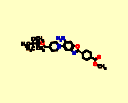 COC(=O)[C@H]1CC[C@H](c2nc3cc(N4CCC(CO[Si](C)(C)C(C)(C)C)CC4)c(N)cc3o2)CC1